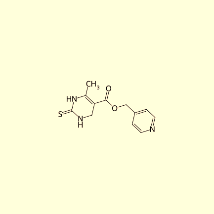 CC1=C(C(=O)OCc2ccncc2)CNC(=S)N1